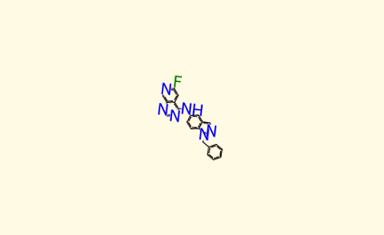 Fc1cc2c(Nc3ccc4c(cnn4Cc4ccccc4)c3)ncnc2cn1